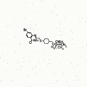 CC(C)(C)[Si](C)(C)OCC1CCC(SCc2nc3cc(Br)ccc3c(=O)[nH]2)CC1